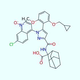 COc1cccc(OCC2CC2)c1-c1cc(C(=O)NC2(C(=O)O)C3CC4CC(C3)CC2C4)nn1-c1cc[n+]([O-])c2cc(Cl)ccc12